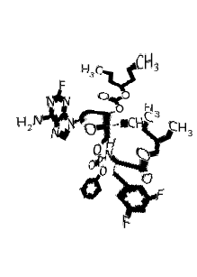 C#C[C@]1(CO[P@@](=O)(N[C@@H](Cc2cc(F)cc(F)c2)C(=O)OCC(CC)CC)Oc2ccccc2)O[C@@H](n2cnc3c(N)nc(F)nc32)C[C@@H]1OC(=O)OC(CCC)CCC